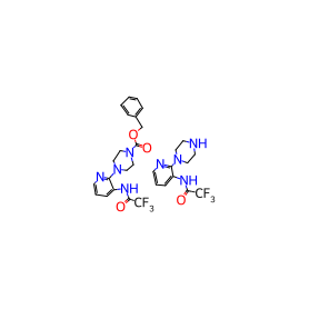 O=C(Nc1cccnc1N1CCNCC1)C(F)(F)F.O=C(OCc1ccccc1)N1CCN(c2ncccc2NC(=O)C(F)(F)F)CC1